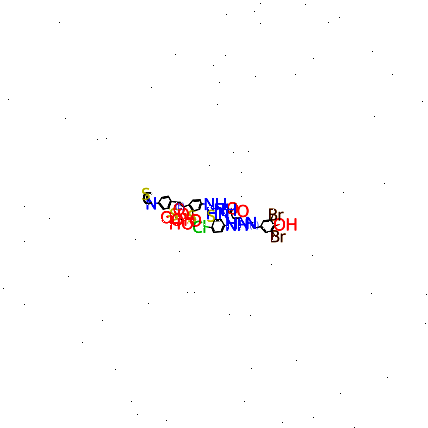 O=C(N/N=C/c1cc(Br)c(O)c(Br)c1)C(Nc1ccc(Cl)cc1)C(=O)NNC(=S)Nc1ccc(/C=C/c2ccc(N=C=S)cc2S(=O)(=O)O)c(S(=O)(=O)O)c1